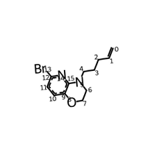 C=CCCCN1CCOc2ccc(Br)nc21